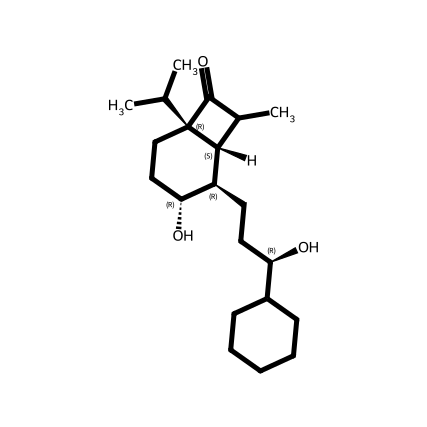 CC1C(=O)[C@@]2(C(C)C)CC[C@@H](O)[C@H](CC[C@@H](O)C3CCCCC3)[C@@H]12